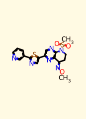 CO/N=C1\CCN(S(C)(=O)=O)c2ncc(-c3cnc(-c4cccnc4)s3)nc21